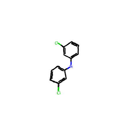 Clc1cccc([N]c2cccc(Cl)c2)c1